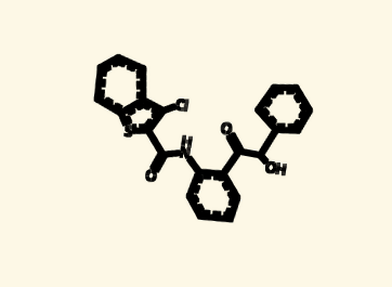 O=C(Nc1ccccc1C(=O)C(O)c1ccccc1)c1sc2ccccc2c1Cl